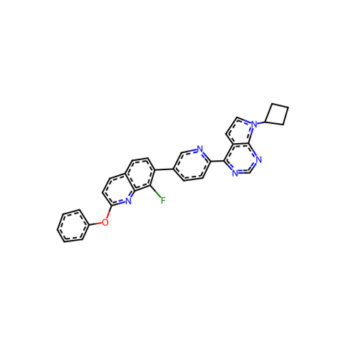 Fc1c(-c2ccc(-c3ncnc4c3ccn4C3CCC3)nc2)ccc2ccc(Oc3ccccc3)nc12